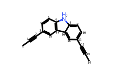 CC#Cc1ccc2[nH]c3ccc(C#CC)cc3c2c1